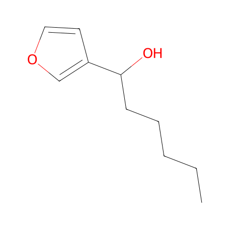 CCCCCC(O)c1ccoc1